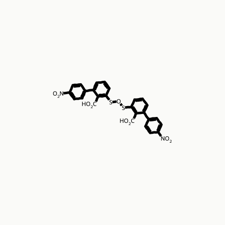 O=C(O)c1c(SOSc2cccc(-c3ccc([N+](=O)[O-])cc3)c2C(=O)O)cccc1-c1ccc([N+](=O)[O-])cc1